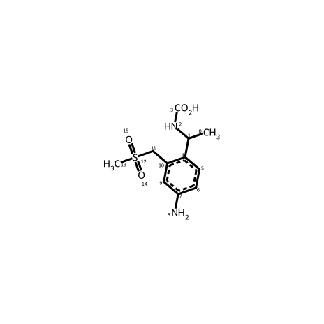 CC(NC(=O)O)c1ccc(N)cc1CS(C)(=O)=O